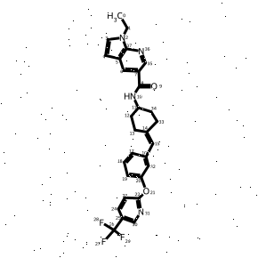 CCn1ccc2cc(C(=O)NC3CCC(=Cc4cccc(Oc5ccc(C(F)(F)F)cn5)c4)CC3)cnc21